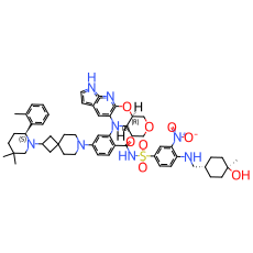 Cc1ccccc1[C@@H]1CCC(C)(C)CN1C1CC2(CCN(c3ccc(C(=O)NS(=O)(=O)c4ccc(NC[C@H]5CC[C@](C)(O)CC5)c([N+](=O)[O-])c4)c(N4c5cc6cc[nH]c6nc5O[C@H]5COCC[C@@H]54)c3)CC2)C1